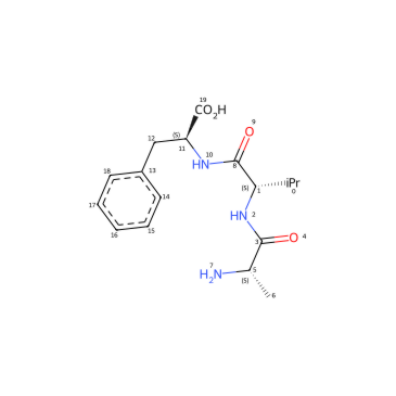 CC(C)[C@H](NC(=O)[C@H](C)N)C(=O)N[C@@H](Cc1ccccc1)C(=O)O